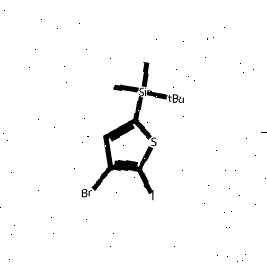 CC(C)(C)[Si](C)(C)c1cc(Br)c(I)s1